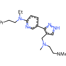 CCN(CCC(C)C)c1ccc(-c2n[nH]cc2CN(C)CCNC)cn1